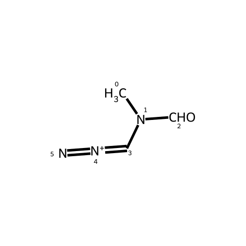 CN(C=O)C=[N+]=[N-]